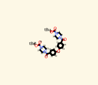 CC(C)(C)OC(=O)N1CCN(C(=O)c2ccc(Oc3ccc(C(=O)N4CCN(C(=O)OC(C)(C)C)CC4)cc3)cc2)CC1